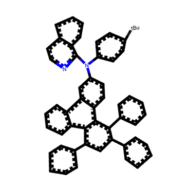 CC(C)(C)c1ccc(N(c2ccc3c(c2)c2ccccc2c2c(-c4ccccc4)cc(-c4ccccc4)c(-c4ccccc4)c32)c2nccc3ccccc23)cc1